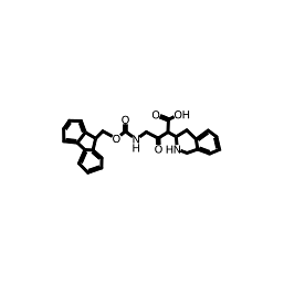 O=C(NCC(=O)C(C(=O)O)C1Cc2ccccc2CN1)OCC1c2ccccc2-c2ccccc21